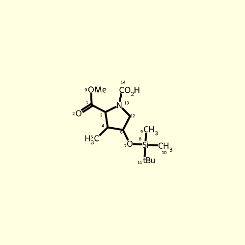 COC(=O)C1C(C)C(O[Si](C)(C)C(C)(C)C)CN1C(=O)O